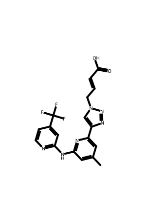 Cc1cc(Nc2cc(C(F)(F)F)ccn2)nc(-c2cn(CC=CC(=O)O)nn2)c1